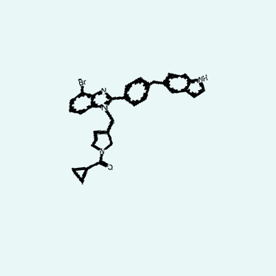 O=C(C1CC1)N1CCC(Cn2c(-c3ccc(-c4ccc5[nH]ccc5c4)cc3)nc3c(Br)cccc32)C1